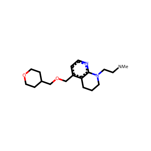 CNCCN1CCCc2c(COCC3CCOCC3)ccnc21